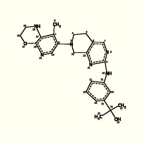 Cc1c(N2CCc3cnc(Nc4cccc(C(C)(C)O)c4)nc3C2)cnc2c1NCCO2